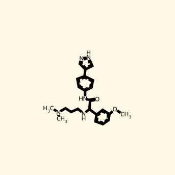 COc1cccc(C(NCCCN(C)C)C(=O)Nc2ccc(-c3cn[nH]c3)cc2)c1